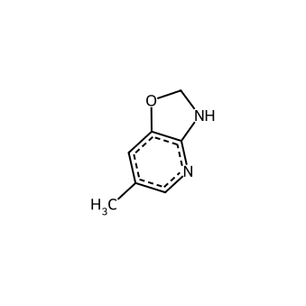 Cc1cnc2c(c1)OCN2